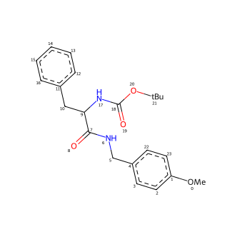 COc1ccc(CNC(=O)C(Cc2ccccc2)NC(=O)OC(C)(C)C)cc1